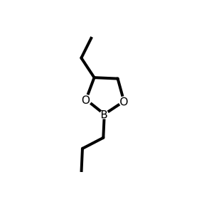 CCCB1OCC(CC)O1